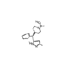 CB(O)N1CCC(=C(c2ccccc2)c2cc(C)n[nH]2)CC1